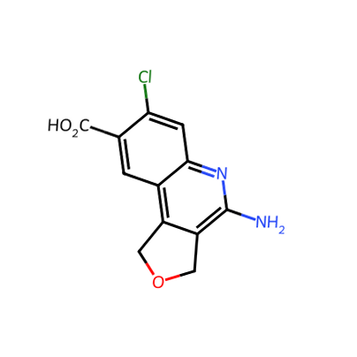 Nc1nc2cc(Cl)c(C(=O)O)cc2c2c1COC2